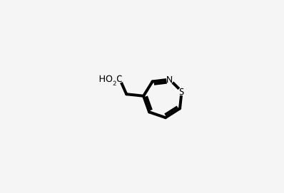 O=C(O)CC1=CC=CSN=C1